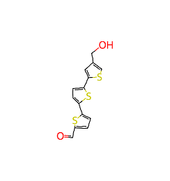 O=Cc1ccc(-c2ccc(-c3cc(CO)cs3)s2)s1